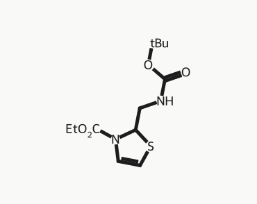 CCOC(=O)N1C=CSC1CNC(=O)OC(C)(C)C